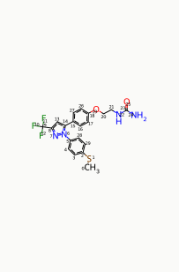 CSc1ccc(-n2nc(C(F)(F)F)cc2-c2ccc(OCCNC(N)=O)cc2)cc1